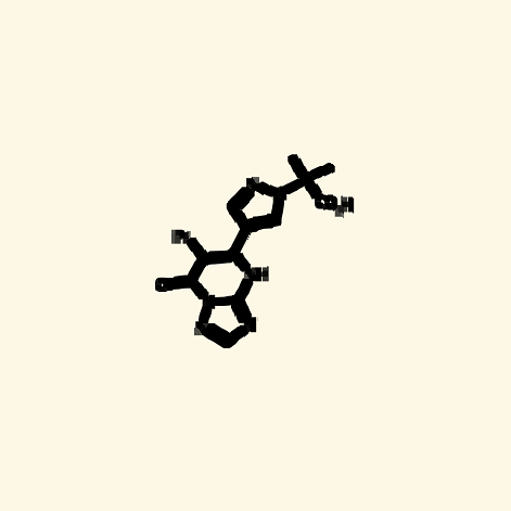 CC(C)c1c(-c2cnn(C(C)(C)C(=O)O)c2)[nH]c2ncnn2c1=O